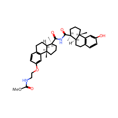 COC(=O)NCCOc1ccc2c(c1)[C@@]1(C)CCC[C@](C)(C(=O)NC(=O)[C@@]3(C)CCC[C@]4(C)c5cc(O)ccc5CC[C@@H]34)[C@@H]1CC2